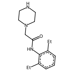 CCc1cccc(CC)c1NC(=O)CN1CCNCC1